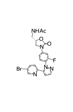 CC(=O)NC[C@H]1CN(c2ccc(-n3nccc3-c3ccc(Br)cn3)c(F)c2)C(=O)O1